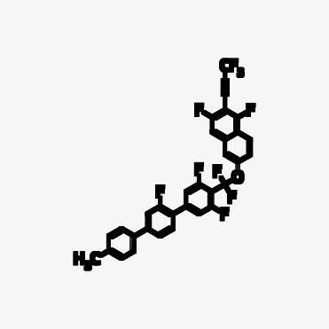 Cc1ccc(-c2ccc(-c3cc(F)c(C(F)(F)Oc4ccc5c(F)c(C#CC(F)(F)F)c(F)cc5c4)c(F)c3)c(F)c2)cc1